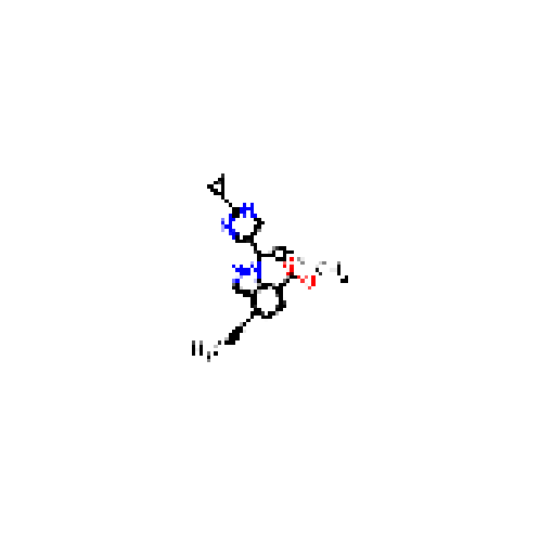 CC#Cc1ccc(C(=O)OC)c2c1cnn2C(C)c1cnc(C2CC2)nc1